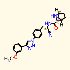 COc1cccc(-c2cn(-c3ccc(C[C@@H](C#N)NC(=O)[C@H]4N[C@@H]5CC[C@H]4C5)cc3)nn2)c1